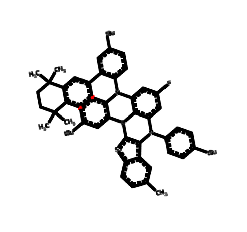 Cc1ccc2sc3c(c2c1)N(c1ccc(C(C)(C)C)cc1)c1cc(F)cc2c1B3c1cc(C(C)(C)C)ccc1N2c1ccc(C(C)(C)C)cc1-c1ccc2c(c1)C(C)(C)CCC2(C)C